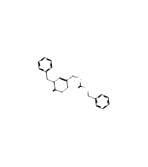 C[C@H](NC(=O)OCc1ccccc1)C1=CC(Cc2ccccc2)C(=O)CC1